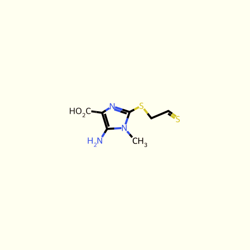 Cn1c(SCC=S)nc(C(=O)O)c1N